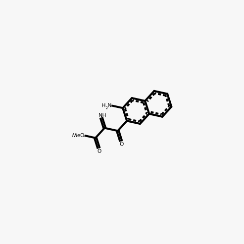 COC(=O)C(=N)C(=O)c1cc2ccccc2cc1N